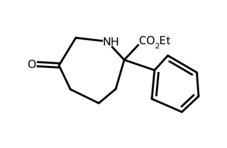 CCOC(=O)C1(c2ccccc2)CCCC(=O)CN1